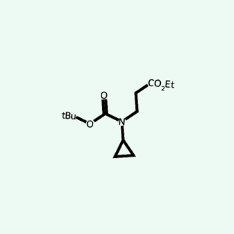 CCOC(=O)CCN(C(=O)OC(C)(C)C)C1CC1